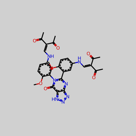 COc1ccc(NC=C(C(C)=O)C(C)=O)cc1-c1nc2nn[nH]c2c(=O)n1-c1cc(NC=C(C(C)=O)C(C)=O)ccc1OC